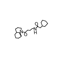 O=C(CC1CCCCC1)NCCCC(=O)N1CCCC2CCCC=C21